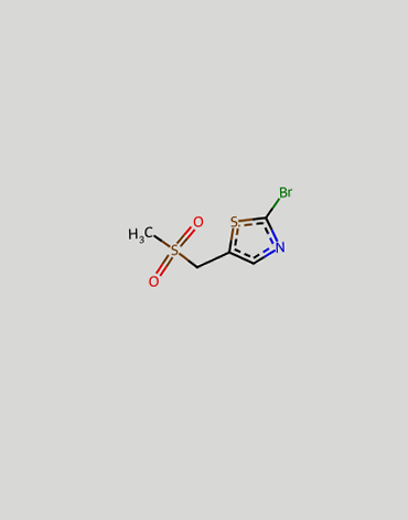 CS(=O)(=O)Cc1cnc(Br)s1